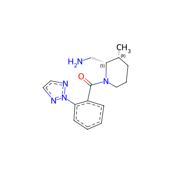 C[C@@H]1CCCN(C(=O)c2ccccc2-n2nccn2)[C@@H]1CN